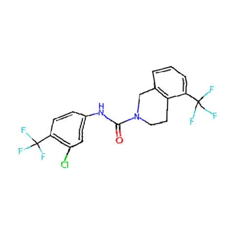 O=C(Nc1ccc(C(F)(F)F)c(Cl)c1)N1CCc2c(cccc2C(F)(F)F)C1